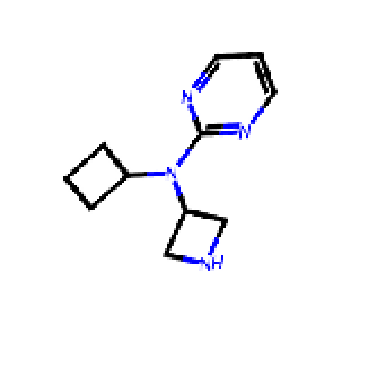 c1cnc(N(C2CCC2)C2CNC2)nc1